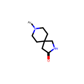 CC(=O)N1CCC2(CC1)CNC(=O)C2